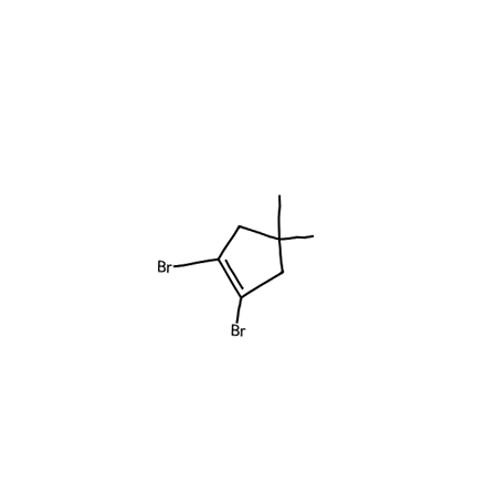 CC1(C)CC(Br)=C(Br)C1